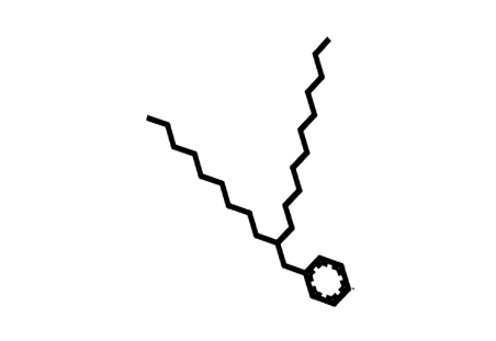 CCCCCCCCCCCC(CCCCCCCCC)Cc1cc[c]cc1